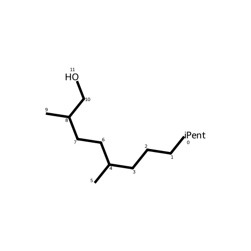 CCCC(C)CCCC(C)CCC(C)CO